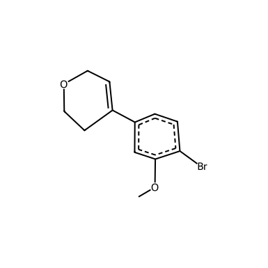 COc1cc(C2=CCOCC2)ccc1Br